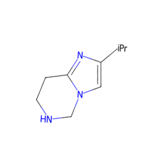 CC(C)c1cn2c(n1)CCNC2